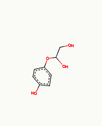 OCC(O)Oc1ccc(O)cc1